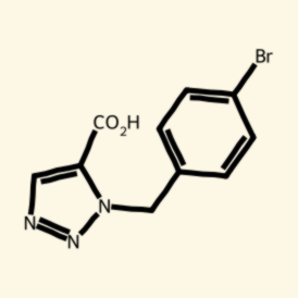 O=C(O)c1cnnn1Cc1ccc(Br)cc1